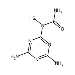 NC(=O)N(S)c1nc(N)nc(N)n1